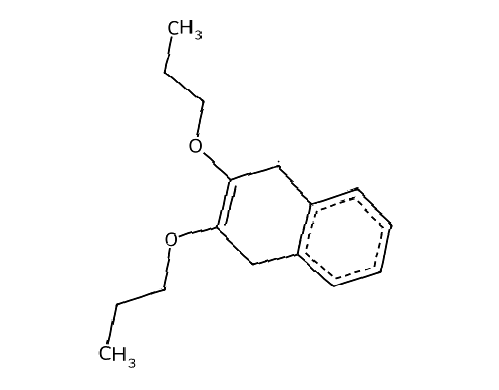 CCCOC1=C(OCCC)Cc2ccccc2[CH]1